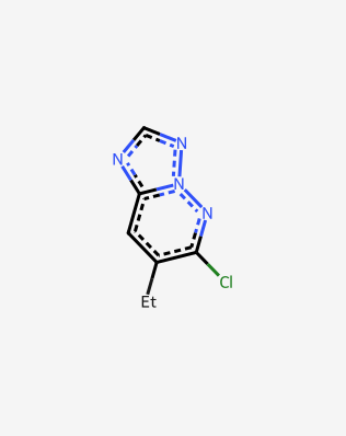 CCc1cc2ncnn2nc1Cl